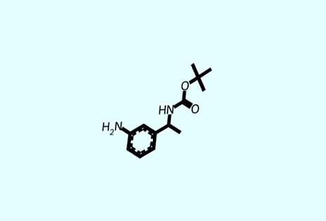 CC(NC(=O)OC(C)(C)C)c1cccc(N)c1